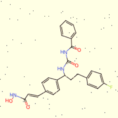 O=C(C=Cc1ccc(C(CCc2ccc(F)cc2)NC(=O)NC(=O)c2ccccc2)cc1)NO